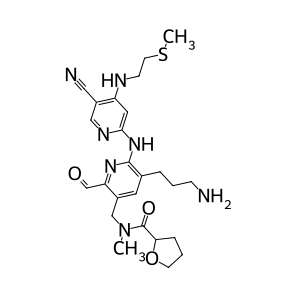 CSCCNc1cc(Nc2nc(C=O)c(CN(C)C(=O)C3CCCO3)cc2CCCN)ncc1C#N